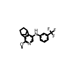 COc1ncc(Nc2cccc(C(F)(F)F)c2)c2c1C1CCC2C1